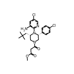 COC(=O)CC(=O)N1C[C@H](CC(C)(C)C)N(c2ncc(Cl)cc2N)[C@H](c2ccc(Cl)cc2)C1